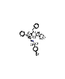 O=C(NC(/C=C/S(=O)(=O)c1ccc(Br)cc1)CCc1ccccc1)C(Cc1ccccc1)NC(=O)N1CCOCC1